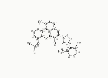 Cc1cnc2cc([C@@H]3CC[C@H](c4c(C)cccc4F)C3)c(=O)n(Cc3ncccc3OC(F)F)c2n1